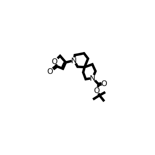 CC(C)(C)OC(=O)N1CCC2(CCCN(C3=CC(=O)OC3)C2)CC1